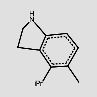 Cc1ccc2c(c1C(C)C)CCN2